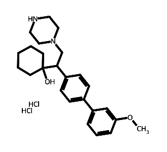 COc1cccc(-c2ccc(C(CN3CCNCC3)C3(O)CCCCC3)cc2)c1.Cl.Cl